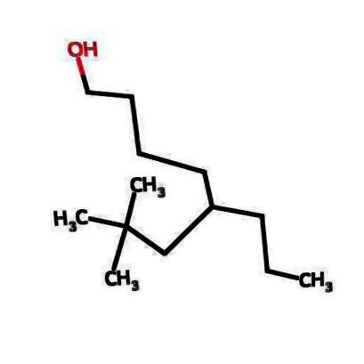 CCCC(CCCCO)CC(C)(C)C